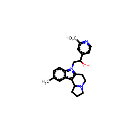 Cc1ccc2c(c1)c1c(n2CC(O)c2ccnc(C(=O)O)c2)CCN2CCCC12